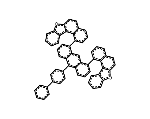 c1ccc(-c2ccc(-c3c4cccc(-c5cccc6ccc7oc8ccccc8c7c56)c4cc4c(-c5cccc6ccc7oc8ccccc8c7c56)cccc34)cc2)cc1